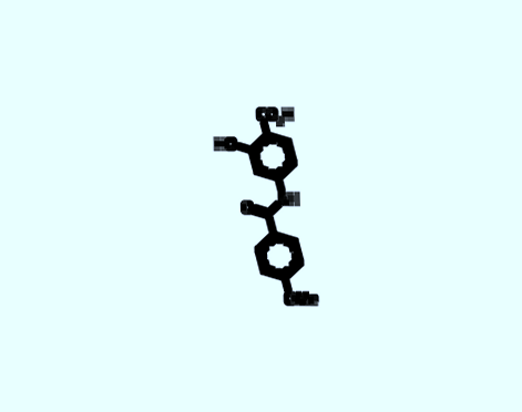 COc1ccc(C(=O)Nc2ccc(C(=O)O)c(O)c2)cc1